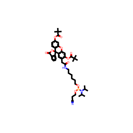 CC(C)N(C(C)C)P(OCCC#N)OCCCCCCNC(=O)Cc1cc2c(cc1OC(=O)C(C)(C)C)Oc1cc(OC(=O)C(C)(C)C)ccc1C21OC(=O)c2ccccc21